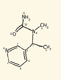 CC(c1cccnc1)N(C)C(N)=O